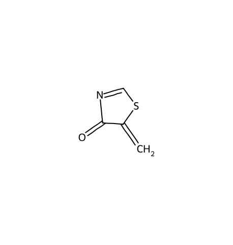 C=C1SC=NC1=O